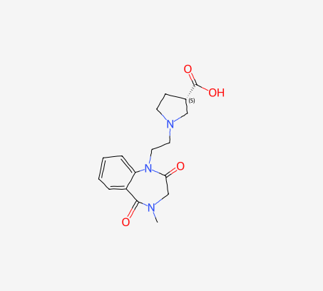 CN1CC(=O)N(CCN2CC[C@H](C(=O)O)C2)c2ccccc2C1=O